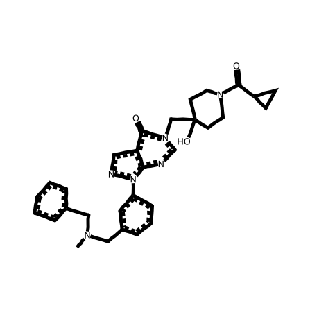 CN(Cc1ccccc1)Cc1cccc(-n2ncc3c(=O)n(CC4(O)CCN(C(=O)C5CC5)CC4)cnc32)c1